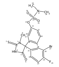 CN1C(=S)NC(=O)C1(c1cccc(OS(=O)(=O)N(C)C)c1)c1ccc(F)c(Br)c1